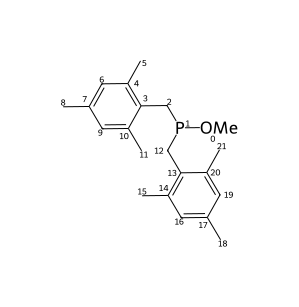 COP(Cc1c(C)cc(C)cc1C)Cc1c(C)cc(C)cc1C